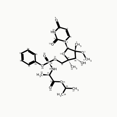 CO[C@@]1(C)[C@H](n2ccc(=O)[nH]c2=O)O[C@](C)(CO[P@](=O)(N[C@H](C)C(=O)OC(C)C)Oc2ccccc2)[C@H]1O